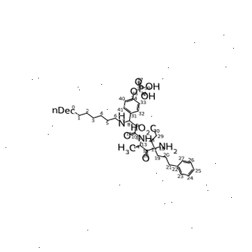 CCCCCCCCCCCCCCCCNC(CC(=O)NC(C)C(=O)C(N)(CCCc1ccccc1)CCC(=O)O)c1ccc(OP(=O)(O)O)cc1